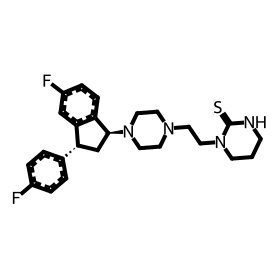 Fc1ccc([C@H]2C[C@H](N3CCN(CCN4CCCNC4=S)CC3)c3ccc(F)cc32)cc1